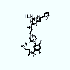 CN(CC[S+](C)[O-])C(=O)c1cc(N2CCN(CCN(C)c3nc(N)n4nc(-c5ccco5)cc4n3)CC2)c(F)cc1F